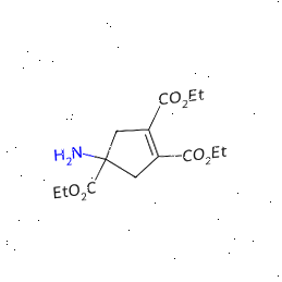 CCOC(=O)C1=C(C(=O)OCC)CC(N)(C(=O)OCC)C1